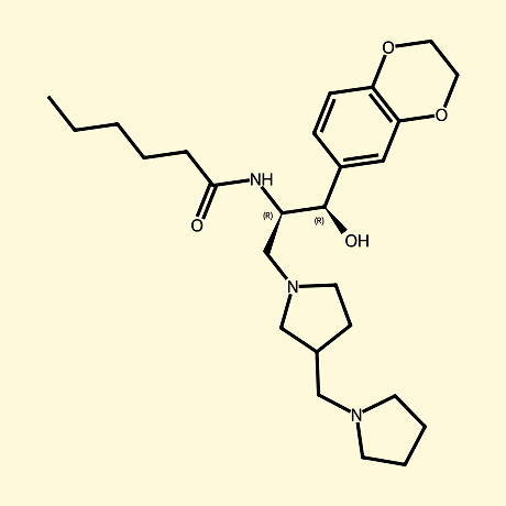 CCCCCC(=O)N[C@H](CN1CCC(CN2CCCC2)C1)[C@H](O)c1ccc2c(c1)OCCO2